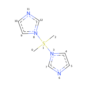 CS(C)(n1ccnc1)n1ccnc1